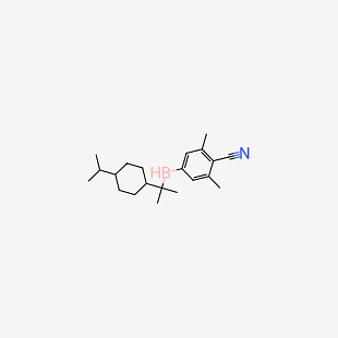 Cc1cc(BC(C)(C)C2CCC(C(C)C)CC2)cc(C)c1C#N